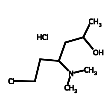 CC(O)CC(CCCl)N(C)C.Cl